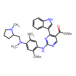 COC(=O)c1cnc(Nc2cc([N+](=O)[O-])c(N(C)CC3CCCN3C)cc2OC)nc1-c1c[nH]c2ccccc12